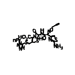 C#CCON=C(C(=O)NC1C(=O)N2C(C(=O)O)=C(CSc3nnnn3CCC)CS[C@@H]12)c1csc(N)n1